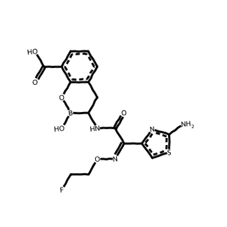 Nc1nc(C(=NOCCF)C(=O)NC2Cc3cccc(C(=O)O)c3OB2O)cs1